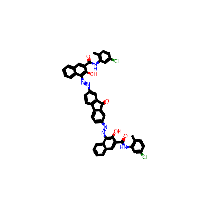 Cc1ccc(Cl)cc1NC(=O)c1cc2ccccc2c(/N=N/c2ccc3c(c2)C(=O)c2cc(/N=N/c4c(O)c(C(=O)Nc5cc(Cl)ccc5C)cc5ccccc45)ccc2-3)c1O